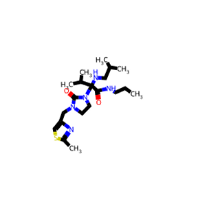 CCCNC(=O)C(NCC(C)C)(C(C)C)N1CCN(Cc2csc(C)n2)C1=O